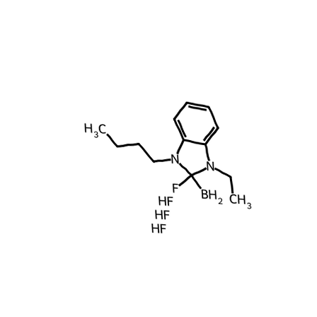 BC1(F)N(CC)c2ccccc2N1CCCC.F.F.F